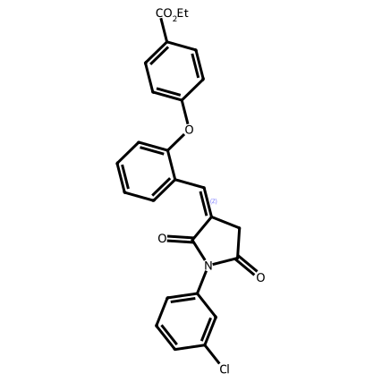 CCOC(=O)c1ccc(Oc2ccccc2/C=C2/CC(=O)N(c3cccc(Cl)c3)C2=O)cc1